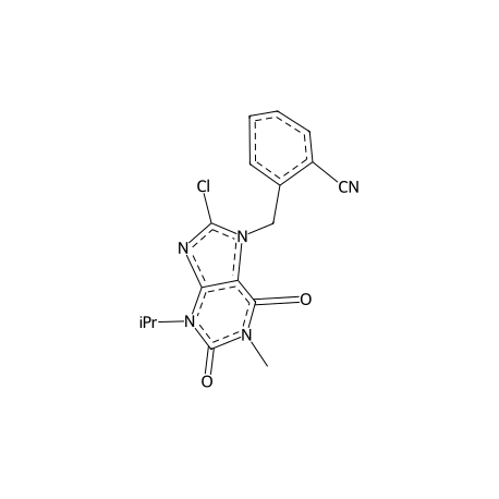 CC(C)n1c(=O)n(C)c(=O)c2c1nc(Cl)n2Cc1ccccc1C#N